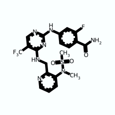 CN(c1cccnc1CNc1nc(Nc2ccc(C(N)=O)c(F)c2)ncc1C(F)(F)F)S(C)(=O)=O